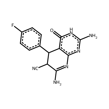 N#CC1C(N)=Nc2nc(N)[nH]c(=O)c2C1c1ccc(F)cc1